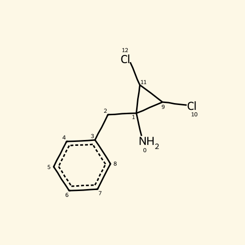 NC1(Cc2ccccc2)C(Cl)C1Cl